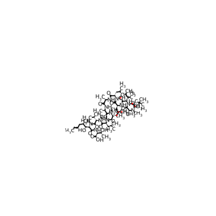 C/C=C/C[C@@H](C)[C@@H](O)[C@@H](C(=O)N[C@H](C(=O)O)[C@@H](C)O)N(C)C(=O)[C@H](C(C)C)N(C)C(=O)[C@H](CC(C)C)NC(=O)[C@H](CC(C)C)N(C)C(=O)[C@@H](C)NC(=O)[C@H](C)NC(=O)[C@H](CC(C)C)N(C)C(=O)[C@H](CC(C)C)NC(=O)[C@H](C(C)CC)N(CC)C(=O)[C@@H](C)N(C)C(=O)OC(C)(C)C